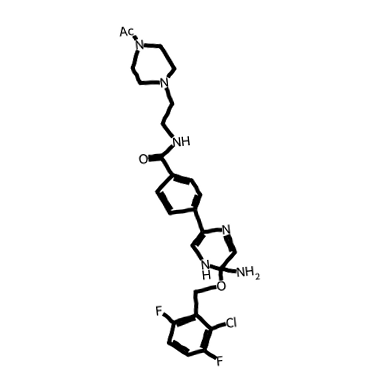 CC(=O)N1CCN(CCNC(=O)c2ccc(C3=CNC(N)(OCc4c(F)ccc(F)c4Cl)C=N3)cc2)CC1